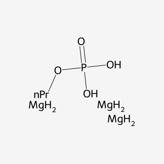 CCCOP(=O)(O)O.[MgH2].[MgH2].[MgH2]